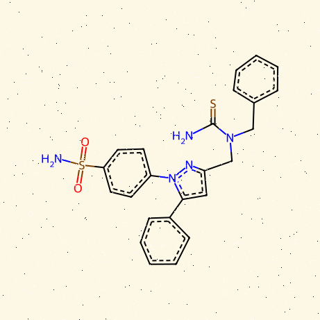 NC(=S)N(Cc1ccccc1)Cc1cc(-c2ccccc2)n(-c2ccc(S(N)(=O)=O)cc2)n1